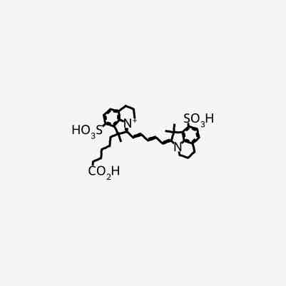 CC1(CCCCCC(=O)O)C(/C=C/C=C/C=C2/N3CCCc4ccc(S(=O)(=O)O)c(c43)C2(C)C)=[N+]2CCCc3ccc(S(=O)(=O)O)c1c32